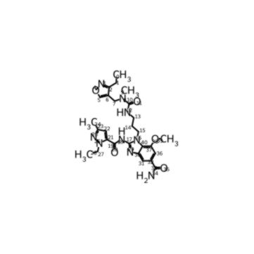 CCc1nocc1CN(C)C(=O)NCCCn1c(NC(=O)c2cc(C)nn2CC)nc2cc(C(N)=O)cc(OC)c21